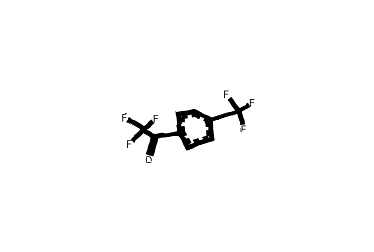 O=C(c1ccc(C(F)(F)F)cc1)C(F)(F)F